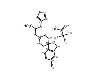 O=C(O)C(Cc1cscn1)CN1CCC2(CC1)OCc1cc(F)ccc12.O=C(O)C(F)(F)F